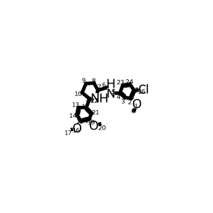 COc1cc(NCC2CCCC(c3ccc(OC)c(OC)c3)N2)ccc1Cl